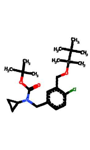 CC(C)(C)OC(=O)N(Cc1ccc(Cl)c(CO[Si](C)(C)C(C)(C)C)c1)C1CC1